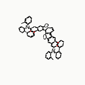 Cc1ccccc1N(c1ccc2cc3c(cc2c1)oc1c3ccc2oc3cc4cc(N(c5ccccc5C)c5ccccc5-c5ccccc5)ccc4cc3c21)c1ccccc1-c1ccccc1